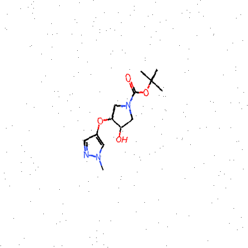 Cn1cc(OC2CN(C(=O)OC(C)(C)C)CC2O)cn1